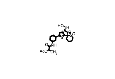 CC(=O)OC(C)C(=O)Nc1cccc(-c2ccc([C@@]3(CC(=O)NO)CCCCS3(=O)=O)s2)c1